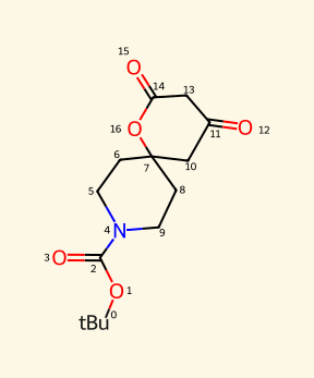 CC(C)(C)OC(=O)N1CCC2(CC1)CC(=O)CC(=O)O2